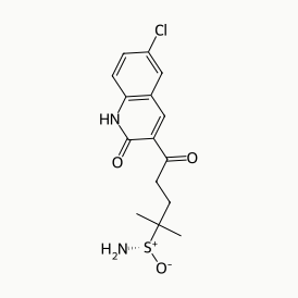 CC(C)(CCC(=O)c1cc2cc(Cl)ccc2[nH]c1=O)[S@@+](N)[O-]